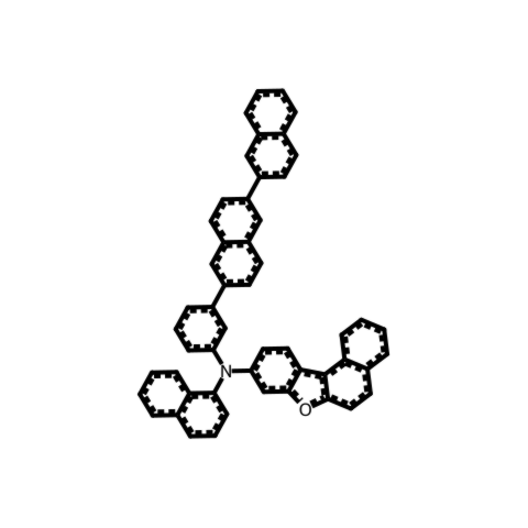 c1cc(-c2ccc3cc(-c4ccc5ccccc5c4)ccc3c2)cc(N(c2ccc3c(c2)oc2ccc4ccccc4c23)c2cccc3ccccc23)c1